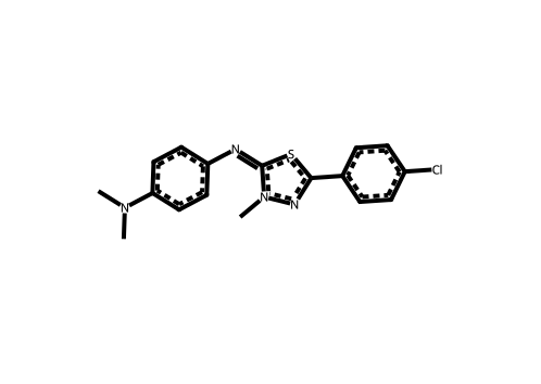 CN(C)c1ccc(N=c2sc(-c3ccc(Cl)cc3)nn2C)cc1